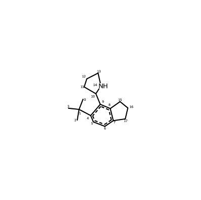 CC(C)(C)c1ccc2c(c1C1CCCN1)CCC2